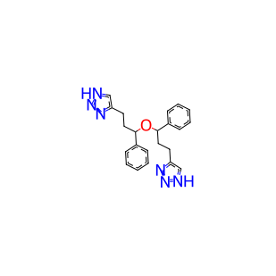 c1ccc(C(CCc2c[nH]nn2)OC(CCc2c[nH]nn2)c2ccccc2)cc1